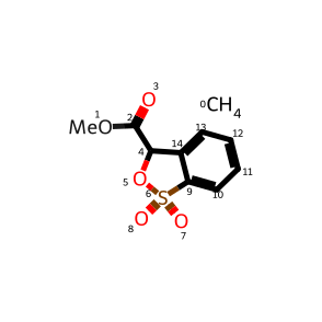 C.COC(=O)C1OS(=O)(=O)c2ccccc21